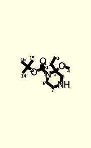 CCC1(OC)CNCCN1C(=O)OC(C)(C)C